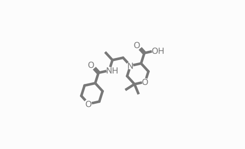 CC(CN1CC(C)(C)OCC1C(=O)O)NC(=O)C1CCOCC1